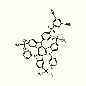 CC(C)(C)c1ccc2c(c1)c1c(c3c4cc(C(C)(C)C)ccc4n(-c4ccc(S(=O)(=O)c5cc(C#N)cc(C#N)c5)cc4)c3c3c4cc(C(C)(C)C)ccc4n(-c4ccccc4)c13)n2-c1ccccc1